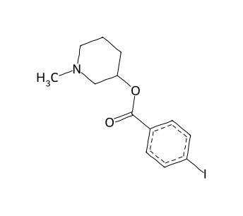 CN1CCCC(OC(=O)c2ccc(I)cc2)C1